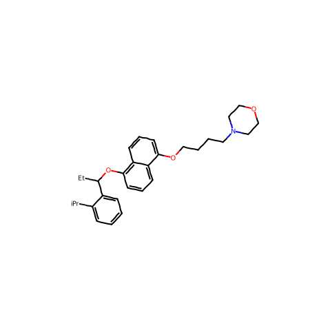 [CH2]CC(Oc1cccc2c(OCCCCN3CCOCC3)cccc12)c1ccccc1C(C)C